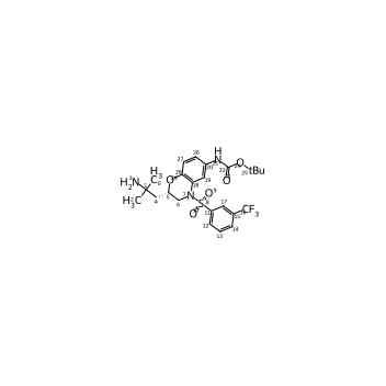 CC(C)(N)C[C@H]1CN(S(=O)(=O)c2cccc(C(F)(F)F)c2)c2cc(NC(=O)OC(C)(C)C)ccc2O1